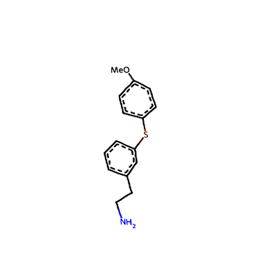 COc1ccc(Sc2cccc(CCN)c2)cc1